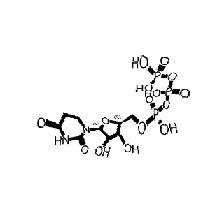 O=C1CCN([C@H]2O[C@@H](COP(=O)(O)OP(=O)(O)OP(=O)(O)O)C(O)C2O)C(=O)N1